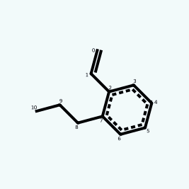 C=Cc1c[c]ccc1CCC